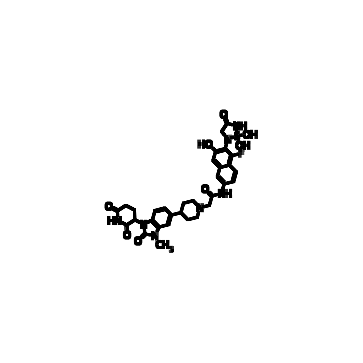 Cn1c(=O)n(C2CCC(=O)NC2=O)c2ccc(C3CCN(CC(=O)Nc4ccc5c(F)c(N6CC(=O)NS6(O)O)c(O)cc5c4)CC3)cc21